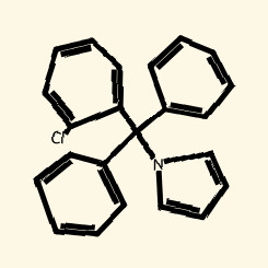 Clc1ccccc1C(c1ccccc1)(c1ccccc1)n1cccc1